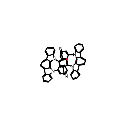 N#Cc1cc(-n2c3ccccc3c3ccc4c5ccccc5n(-c5ccccc5)c4c32)c(C#N)cc1-n1c2ccccc2c2ccc3c4ccccc4n(-c4ccccc4)c3c21